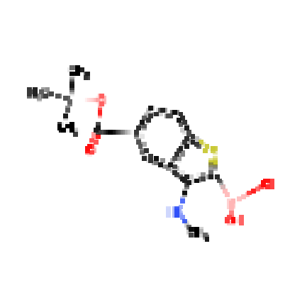 CNc1c(B(O)O)sc2ccc(C(=O)OC(C)(C)C)cc12